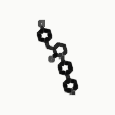 O=C1C(Cc2ccc(Cl)cc2)CCCN1c1ccc(-c2ccncc2)cc1